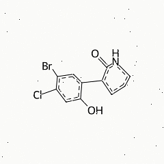 O=c1[nH]cccc1-c1cc(Br)c(Cl)cc1O